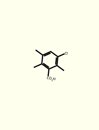 Cc1cc(Cl)c(C)c(C(=O)O)c1C